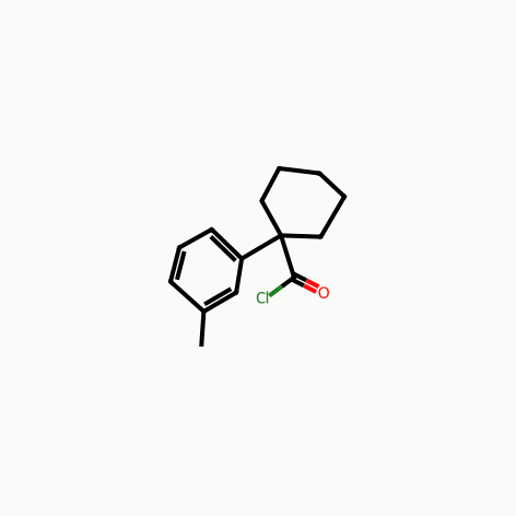 Cc1cccc(C2(C(=O)Cl)CCCCC2)c1